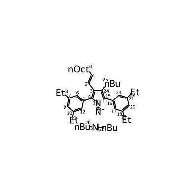 CCCCCCCCC=CC1=C(c2cc(CC)cc(CC)c2)[N+](=[N-])C(c2cc(CC)cc(CC)c2)=C1CCCC.CCC[CH2][Ni][CH2]CCC